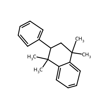 CC1(C)CC(c2ccccc2)C(C)(C)c2ccccc21